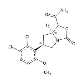 COc1ccc(Cl)c(Cl)c1[C@H]1C[C@H]2C(C(N)=O)OC(=O)N2C1